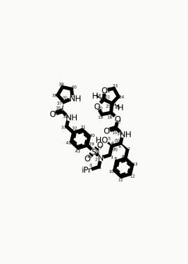 CC(C)CN(C[C@@H](O)[C@H](Cc1ccccc1)NC(=O)OC1CO[C@H]2OCC[C@@H]12)S(=O)(=O)c1ccc(CNC(=O)[C@@H]2CCCN2)cc1